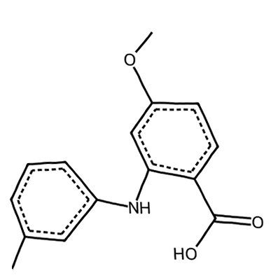 COc1ccc(C(=O)O)c(Nc2cccc(C)c2)c1